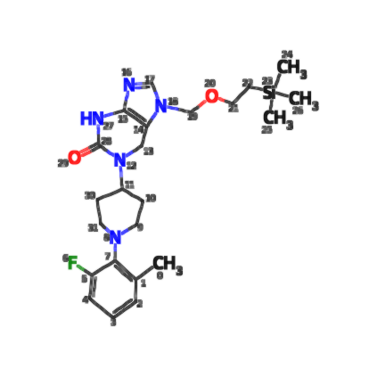 Cc1cccc(F)c1N1CCC(N2Cc3c(ncn3COCC[Si](C)(C)C)NC2=O)CC1